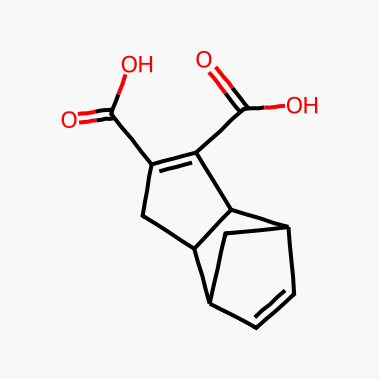 O=C(O)C1=C(C(=O)O)C2C3C=CC(C3)C2C1